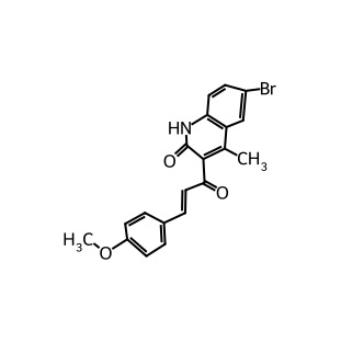 COc1ccc(C=CC(=O)c2c(C)c3cc(Br)ccc3[nH]c2=O)cc1